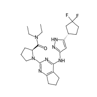 CCN(CC)C(=O)[C@@H]1CCCN1c1nc2c(c(Nc3cc([C@H]4CCC(F)(F)C4)[nH]n3)n1)CCC2